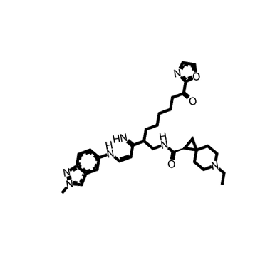 CCN1CCC2(CC1)C[C@@H]2C(=O)NCC(CCCCCC(=O)c1ncco1)C(=N)/C=C\Nc1ccc2nn(C)cc2c1